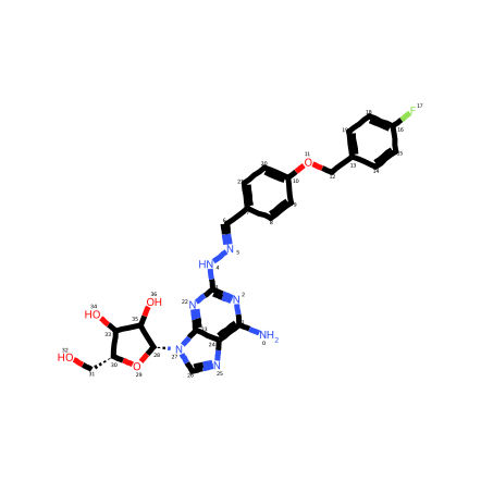 Nc1nc(N/N=C/c2ccc(OCc3ccc(F)cc3)cc2)nc2c1ncn2[C@@H]1O[C@H](CO)C(O)C1O